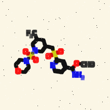 NC(OC=O)c1ccnc(S(=O)(=O)CC2CC(C(F)(F)F)CN(S(=O)(=O)N3CCOCC3)C2)c1